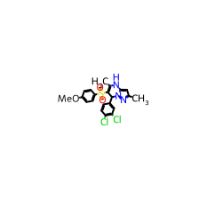 COc1ccc(S(=O)(=O)C2=C(C)Nc3cc(C)nn3C2c2ccc(Cl)c(Cl)c2)cc1